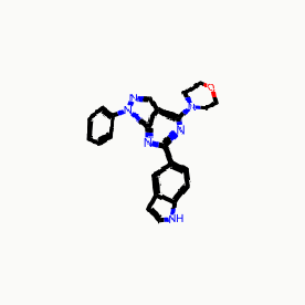 c1ccc(-n2ncc3c(N4CCOCC4)nc(-c4ccc5[nH]ccc5c4)nc32)cc1